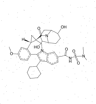 COc1ccc2c(c1)[C@@H]1C[C@]1(C(=O)N1C3CCC(O)C1CCC3O)Cn1c-2c(C2CCCCC2)c2ccc(C(=O)NS(=O)(=O)N(C)C)cc21